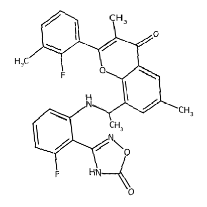 Cc1cc(C(C)Nc2cccc(F)c2-c2noc(=O)[nH]2)c2oc(-c3cccc(C)c3F)c(C)c(=O)c2c1